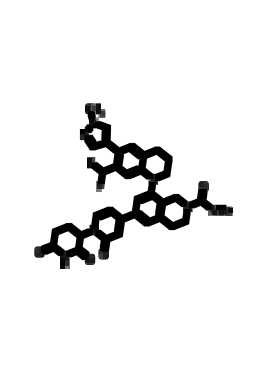 CNC(=O)N1CCc2cc(-c3ccn(C4CCC(=O)NC4=O)c(=O)c3)cc(N3CCCc4cc(-c5cnn(C)c5)c(C(F)F)cc43)c2C1